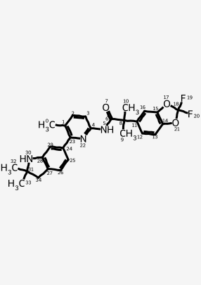 Cc1ccc(NC(=O)C(C)(C)c2ccc3c(c2)OC(F)(F)O3)nc1-c1ccc2c(c1)NC(C)(C)C2